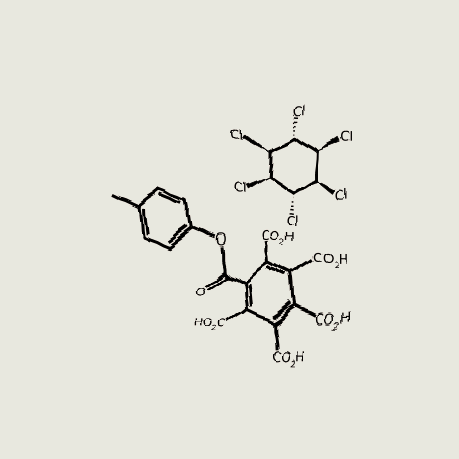 Cc1ccc(OC(=O)c2c(C(=O)O)c(C(=O)O)c(C(=O)O)c(C(=O)O)c2C(=O)O)cc1.Cl[C@H]1[C@H](Cl)[C@@H](Cl)[C@@H](Cl)[C@H](Cl)[C@H]1Cl